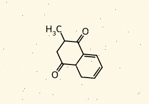 CC1CC(=O)C2CC=CC=C2C1=O